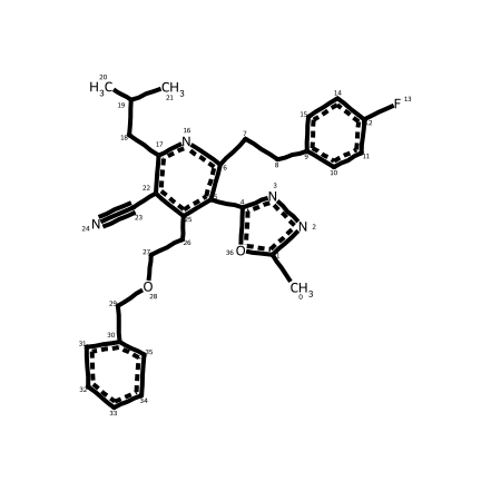 Cc1nnc(-c2c(CCc3ccc(F)cc3)nc(CC(C)C)c(C#N)c2CCOCc2ccccc2)o1